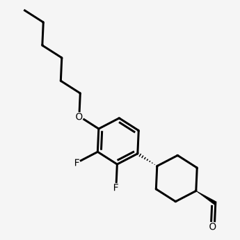 CCCCCCOc1ccc([C@H]2CC[C@H](C=O)CC2)c(F)c1F